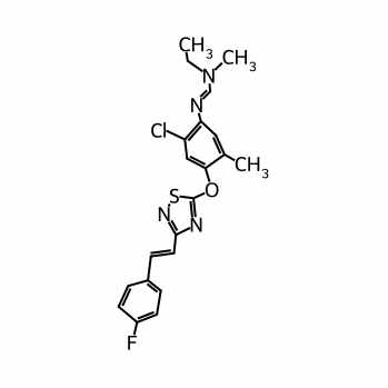 CCN(C)C=Nc1cc(C)c(Oc2nc(/C=C/c3ccc(F)cc3)ns2)cc1Cl